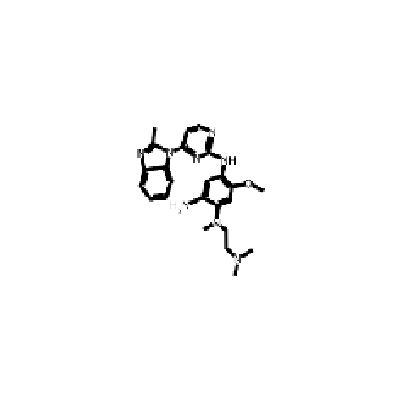 COc1cc(N(C)CCN(C)C)c(N)cc1Nc1nccc(-n2c(C)nc3ccccc32)n1